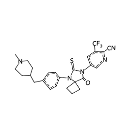 CN1CCC(Cc2ccc(N3C(=S)N(c4cnc(C#N)c(C(F)(F)F)c4)C(=O)C34CCC4)cc2)CC1